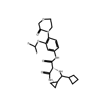 NC(=O)[C@@H](NC(C1CCC1)C1CC1)C(=O)Nc1ccc(N2CCOCC2=O)c(OC(F)F)c1